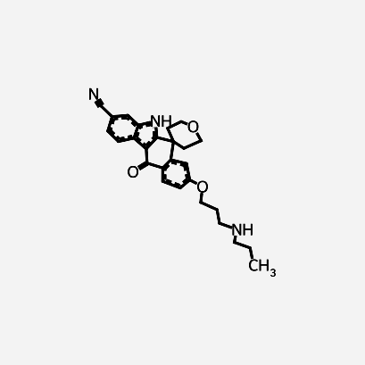 CCCNCCCOc1ccc2c(c1)C1(CCOCC1)c1[nH]c3cc(C#N)ccc3c1C2=O